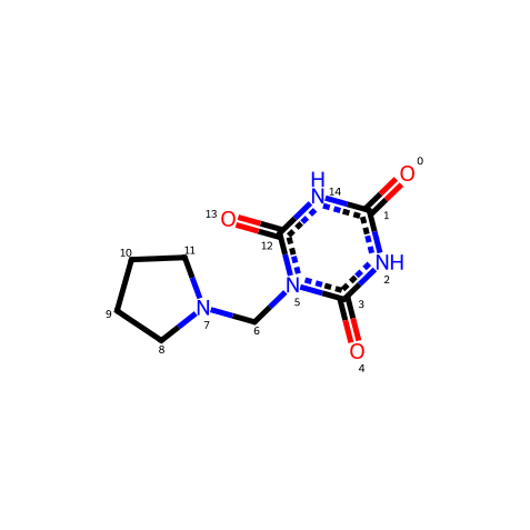 O=c1[nH]c(=O)n(CN2CCCC2)c(=O)[nH]1